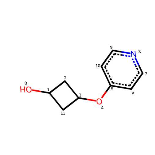 OC1CC(Oc2ccncc2)C1